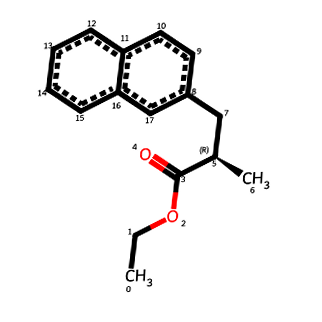 CCOC(=O)[C@H](C)Cc1ccc2ccccc2c1